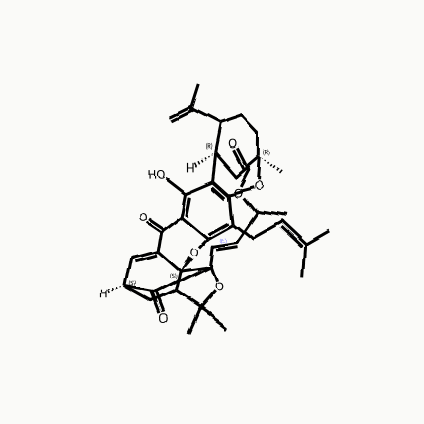 C=C(C)C1CC[C@]2(C)C[C@H]1c1c(O)c3c(c(CC=C(C)C)c1O2)O[C@]12C(=C[C@@H]4CC1C(C)(C)OC2(/C=C/C(C)OC=O)C4=O)C3=O